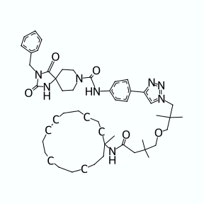 CC(C)(COCC(C)(C)Cn1cc(-c2ccc(NC(=O)N3CCC4(CC3)NC(=O)N(Cc3ccccc3)C4=O)cc2)nn1)CC(=O)NC1(C)CCCCCCCCCCCCCCC1